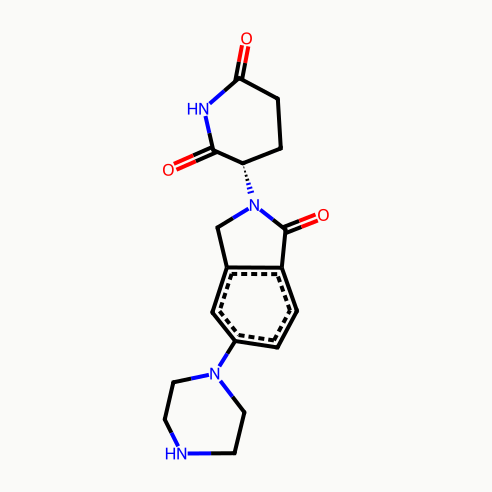 O=C1CC[C@H](N2Cc3cc(N4CCNCC4)ccc3C2=O)C(=O)N1